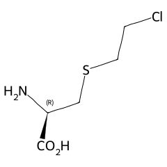 N[C@@H](CSCCCl)C(=O)O